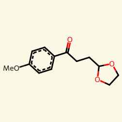 COc1ccc(C(=O)CCC2OCCO2)cc1